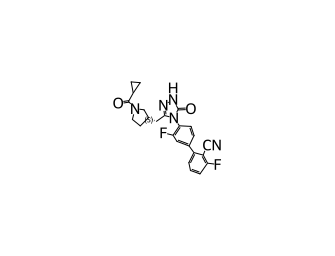 N#Cc1c(F)cccc1-c1ccc(-n2c(C[C@@H]3CCN(C(=O)C4CC4)C3)n[nH]c2=O)c(F)c1